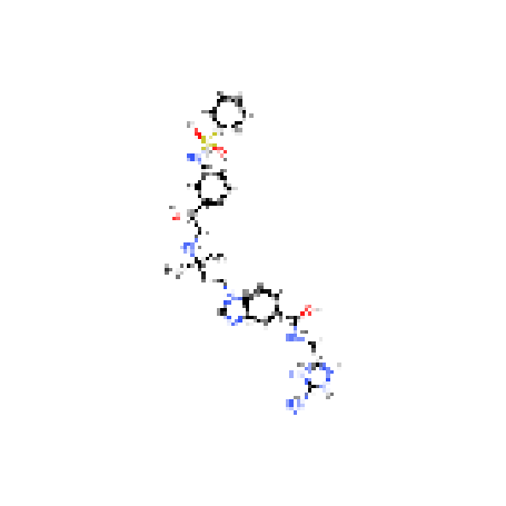 CC(C)(CCn1cnc2cc(C(=O)NCc3nnc(N)[nH]3)ccc21)NC[C@H](O)c1cccc(NS(=O)(=O)c2ccccc2)c1